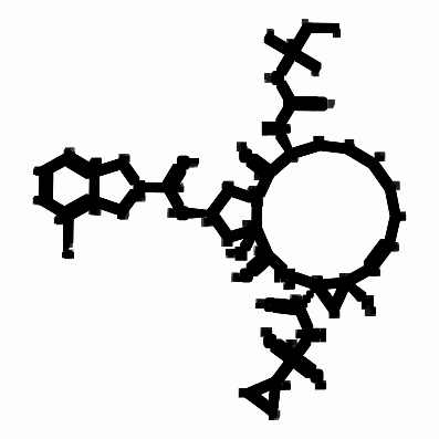 CCC(C)(C)OC(=O)N[C@H]1CCCCCC=C[C@@H]2C[C@@]2(C(=O)NS(=O)(=O)C2CC2)NC(=O)[C@@H]2C[C@@H](OC(=O)N3Cc4cccc(F)c4C3)CN2C1=O